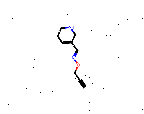 C#CCON=CC1=CCCNC1